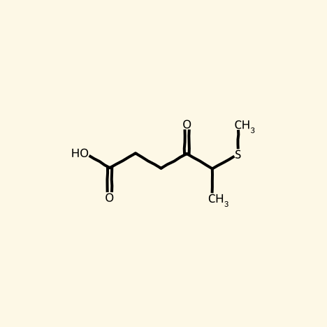 CSC(C)C(=O)CCC(=O)O